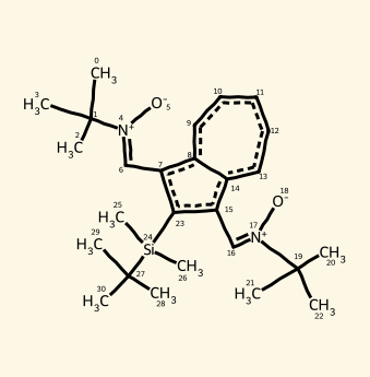 CC(C)(C)/[N+]([O-])=C/c1c2cccccc-2c(/C=[N+](\[O-])C(C)(C)C)c1[Si](C)(C)C(C)(C)C